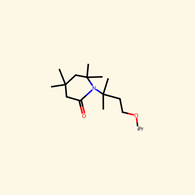 CC(C)OCCC(C)(C)N1C(=O)CC(C)(C)CC1(C)C